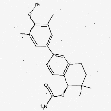 CCCOc1c(C)cc(-c2ccc3c(c2)CCC(C)(C)[C@H]3OC(N)=O)cc1C